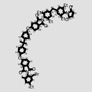 CCc1cc(C)c(N2C(=O)c3ccc(Oc4ccc(C(C)(C)c5ccc(Oc6ccc7c(c6)C(=O)N(c6c(CC)cc(Cc8cc(CC)c(N9C(=O)C=CC9=O)c(CC)c8)cc6CC)C7=O)cc5)cc4)cc3C2=O)c(C(C)C)c1